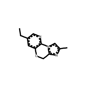 CCc1cnc2c(c1)OCc1nc(C)cn1-2